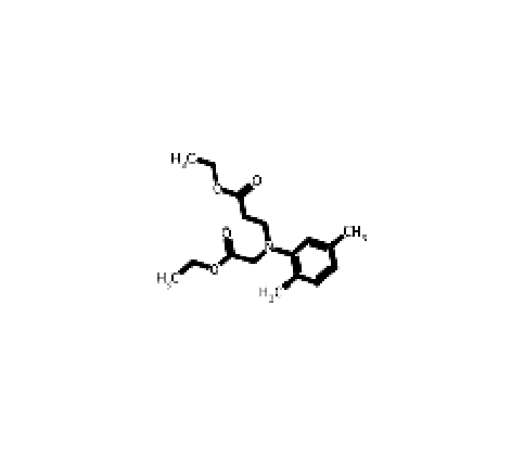 CCOC(=O)CCN(CC(=O)OCC)c1cc(C)ccc1C